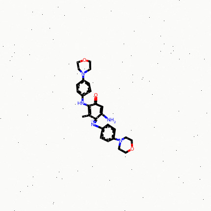 CC1=C(Nc2ccc(N3CCOCC3)cc2)C(=O)C=C(N)/C1=N\c1ccc(N2CCOCC2)cc1